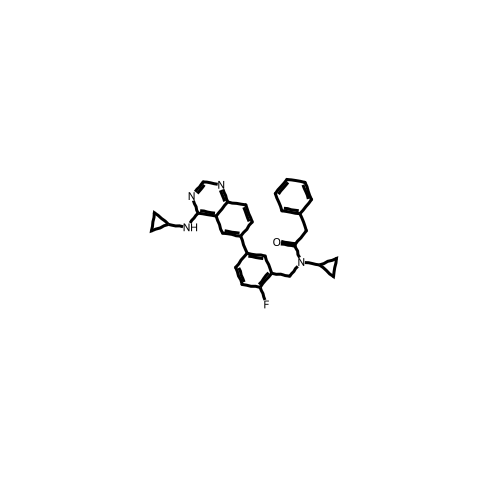 O=C(Cc1ccccc1)N(Cc1cc(-c2ccc3ncnc(NC4CC4)c3c2)ccc1F)C1CC1